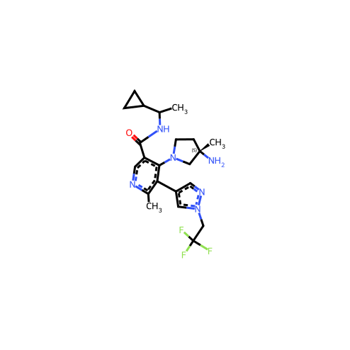 Cc1ncc(C(=O)NC(C)C2CC2)c(N2CC[C@](C)(N)C2)c1-c1cnn(CC(F)(F)F)c1